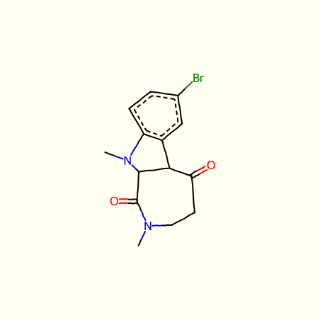 CN1CCC(=O)C2c3cc(Br)ccc3N(C)C2C1=O